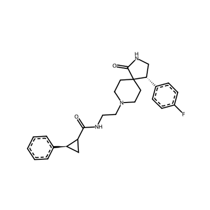 O=C(NCCN1CCC2(CC1)C(=O)NC[C@@H]2c1ccc(F)cc1)C1C[C@H]1c1ccccc1